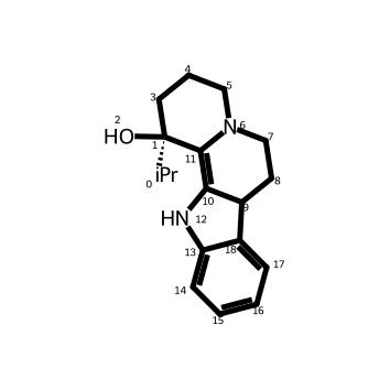 CC(C)[C@]1(O)CCCN2CCC3C(=C21)Nc1ccccc13